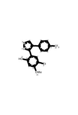 CCc1cc(-c2oncc2-c2ccc(C(F)(F)F)cc2)c(O)cc1OC